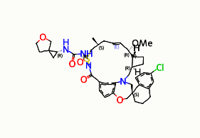 CO[C@H]1/C=C/C[C@H](C)C[S@@](=O)(NC(=O)N[C@@H]2CC23CCOC3)=NC(=O)c2ccc3c(c2)N(C[C@@H]2CC[C@H]21)C[C@@]1(CCCc2cc(Cl)ccc21)CO3